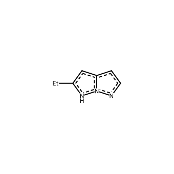 CCc1cc2ccnn2[nH]1